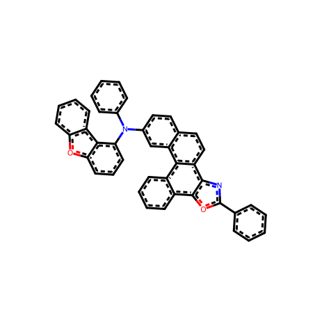 c1ccc(-c2nc3c4ccc5ccc(N(c6ccccc6)c6cccc7oc8ccccc8c67)cc5c4c4ccccc4c3o2)cc1